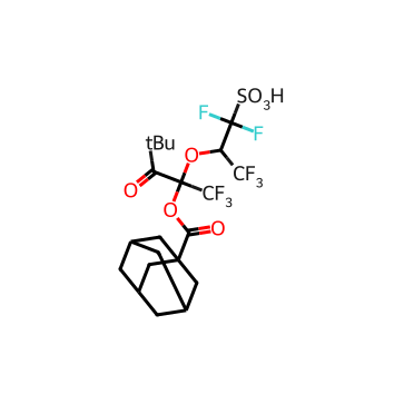 CC(C)(C)C(=O)C(OC(=O)C12CC3CC(CC(C3)C1)C2)(OC(C(F)(F)F)C(F)(F)S(=O)(=O)O)C(F)(F)F